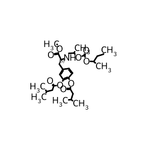 CCCC(C)OC(=O)OC(C)CN[C@@H](Cc1ccc(OC(=O)CC(C)C)c(OC(=O)CC(C)C)c1)C(=O)OC